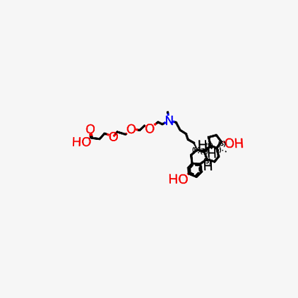 CN(CCCCC[C@@H]1Cc2cc(O)ccc2[C@H]2CC[C@]3(C)[C@@H](O)CC[C@H]3[C@H]12)CCOCCOCCOCCC(=O)O